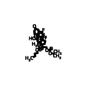 CCCCOC(=O)O[C@]1(C(=O)COC(=O)OC(C)C)CC[C@H]2[C@@H]3C[C@H](F)C4=CC(=O)C=C[C@]4(C)[C@H]3C(O)C[C@@]21C